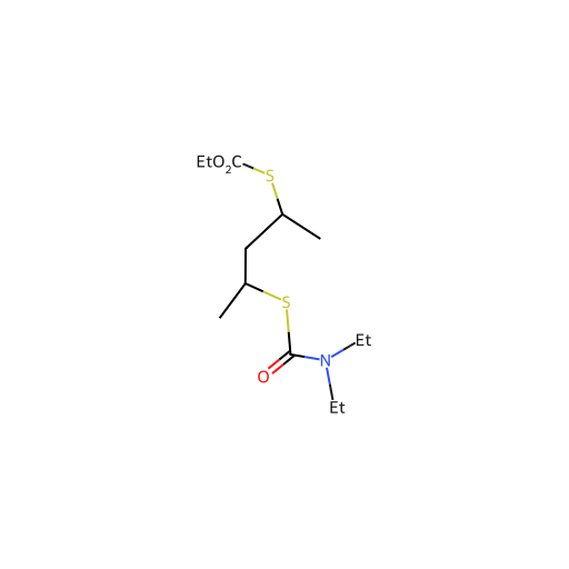 CCOC(=O)SC(C)CC(C)SC(=O)N(CC)CC